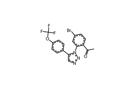 CC(=O)c1ccc(Br)cc1-n1nncc1-c1ccc(OC(F)(F)F)cc1